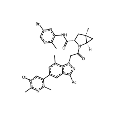 CC(=O)c1nn(CC(=O)N2[C@H](C(=O)Nc3nc(Br)ccc3C)C[C@@]3(C)C[C@@H]23)c2c(C)cc(-c3c[n+]([O-])c(C)nc3C)cc12